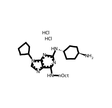 CCCCCCCCNc1nc(N[C@H]2CC[C@H](N)CC2)nc2c1ncn2C1CCCC1.Cl.Cl